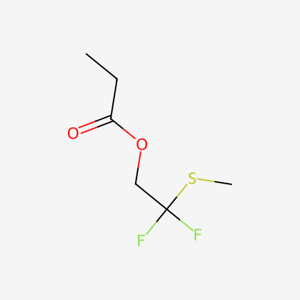 CCC(=O)OCC(F)(F)SC